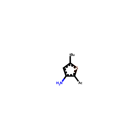 CC(=O)c1sc(C(C)(C)C)cc1N